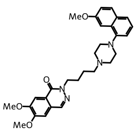 COc1ccc2cccc(N3CCN(CCCCn4ncc5cc(OC)c(OC)cc5c4=O)CC3)c2c1